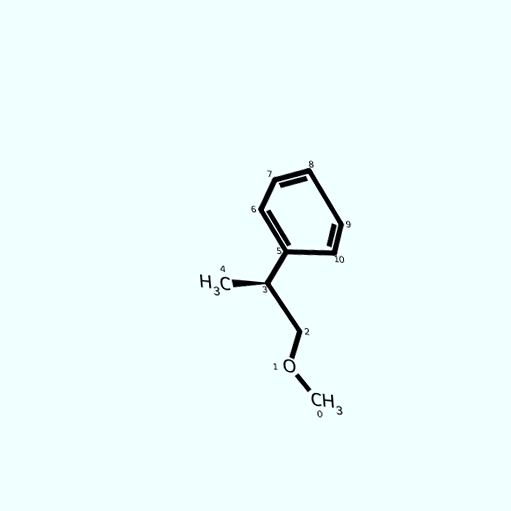 COC[C@@H](C)c1ccccc1